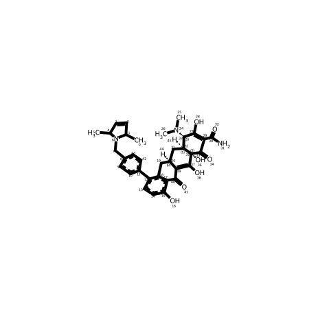 CC1C=CC(C)N1Cc1ccc(-c2ccc(O)c3c2C[C@H]2C[C@H]4[C@H](N(C)C)C(O)=C(C(N)=O)C(=O)[C@@]4(O)C(O)=C2C3=O)cc1